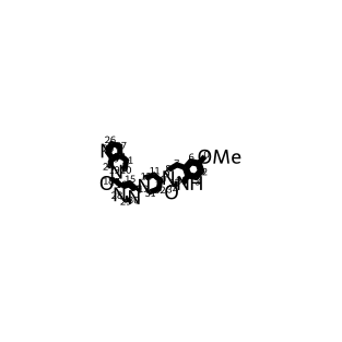 COc1ccc2c(c1)CCN(C1CCN(c3cc(C(=O)N4CCC5=C(C4)N=CC5)ncn3)CC1)C(=O)N2